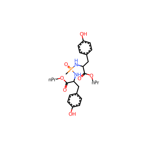 CCCOC(=O)C(Cc1ccc(O)cc1)NP(C)(=O)NC(Cc1ccc(O)cc1)C(=O)OCCC